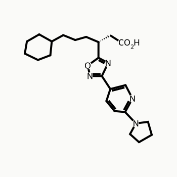 O=C(O)C[C@@H](CCCC1CCCCC1)c1nc(-c2ccc(N3CCCC3)nc2)no1